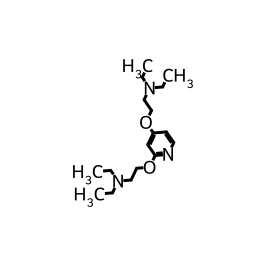 CCN(CC)CCOc1ccnc(OCCN(CC)CC)c1